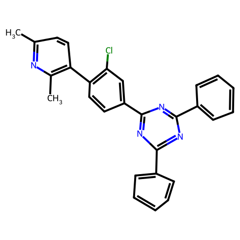 Cc1ccc(-c2ccc(-c3nc(-c4ccccc4)nc(-c4ccccc4)n3)cc2Cl)c(C)n1